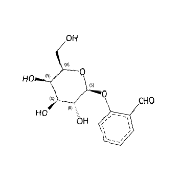 O=Cc1ccccc1O[C@@H]1O[C@H](CO)[C@H](O)[C@H](O)[C@H]1O